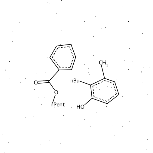 CCCCCOC(=O)c1ccccc1.CCCCc1c(C)cccc1O